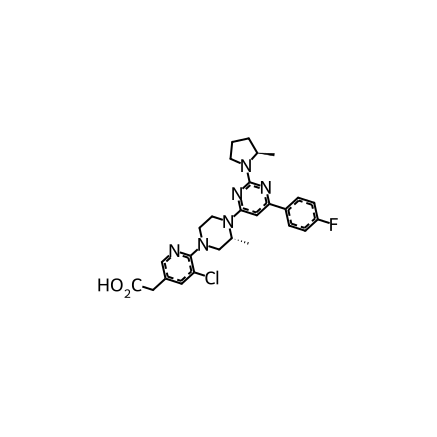 C[C@@H]1CN(c2ncc(CC(=O)O)cc2Cl)CCN1c1cc(-c2ccc(F)cc2)nc(N2CCC[C@H]2C)n1